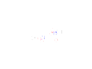 CN(C(=O)OCC1CCN(C(=O)OCc2ccccc2)CC1)C1CCOCC1